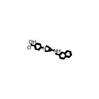 O=C(O)c1ccc(N2CC3C(C2)C3NCc2ccc3ccccc3c2)cc1